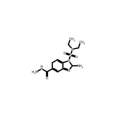 CCN(CC)S(=O)(=O)N1C2=CCC(C(=O)NN)=CC2=NC1N